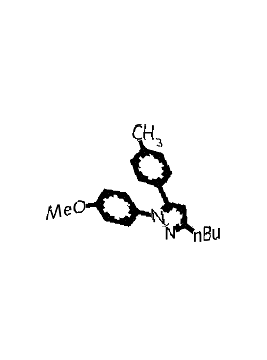 CCCCc1cc(-c2ccc(C)cc2)n(-c2ccc(OC)cc2)n1